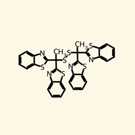 CC(SSC(C)(c1nc2ccccc2s1)c1nc2ccccc2s1)(c1nc2ccccc2s1)c1nc2ccccc2s1